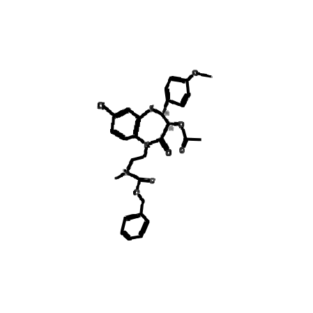 COc1ccc([C@@H]2Sc3cc(Cl)ccc3N(CCN(C)C(=O)OCc3ccccc3)C(=O)[C@@H]2OC(C)=O)cc1